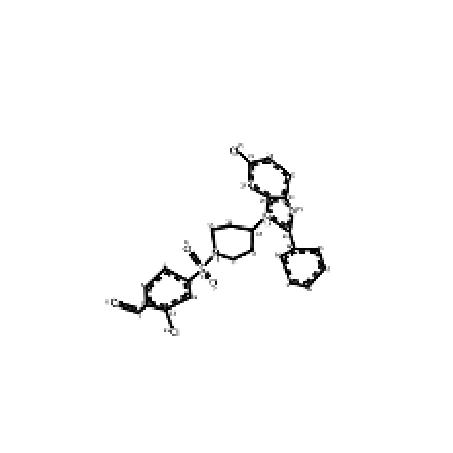 O=Cc1ccc(S(=O)(=O)N2CCC(n3c(-c4ccccc4)nc4ccc(Cl)nc43)CC2)cc1Cl